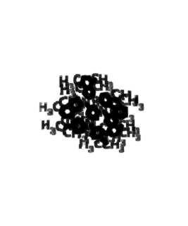 Cc1cc2c(cc1N1c3cc(N(c4ccc(C(C)(C)C)cc4)c4ccc(C(C)(C)C)cc4)cc4c3B(c3cc5c(cc3N4c3ccc4c(c3)C(C)(C)CCC4(C)C)C(C)(C)CCC5(C)C)c3ccc4c(c31)-c1ccccc1C4(C)C)C(C)(C)CCC2(C)C